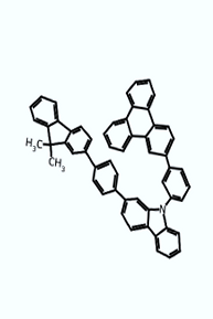 CC1(C)c2ccccc2-c2ccc(-c3ccc(-c4ccc5c6ccccc6n(-c6cccc(-c7ccc8c9ccccc9c9ccccc9c8c7)c6)c5c4)cc3)cc21